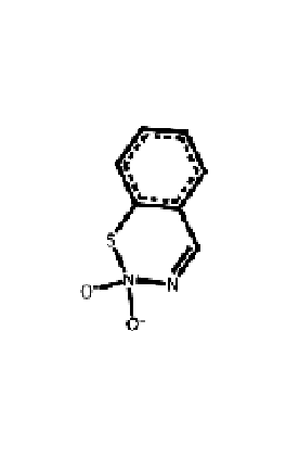 [O-][N+]1([O-])N=Cc2ccccc2S1